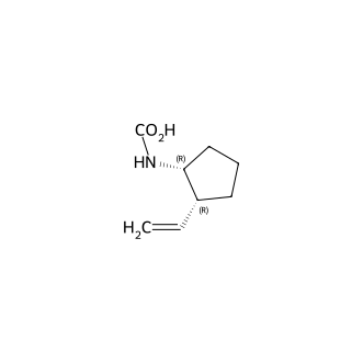 C=C[C@H]1CCC[C@H]1NC(=O)O